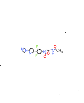 CC(=O)NC[C@H]1CN(c2cc(F)c(-c3ccc(-n4ccnc4)nc3)c(F)c2)C(=O)O1